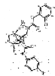 CN(C[C@H]1[C@H](C(=O)Nc2ccc(Br)cc2)[C@@H]2C=C[C@H]1C21CC1)C(=O)Cc1ccccc1Cl